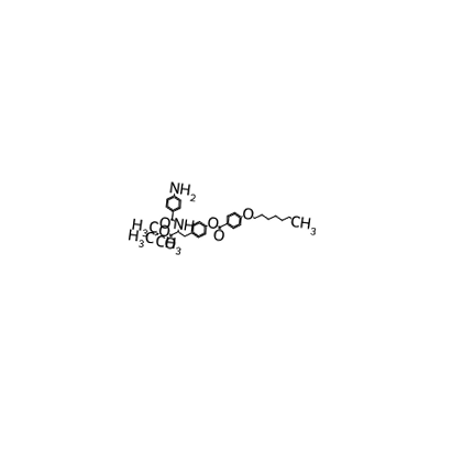 CCCCCCCOc1ccc(C(=O)Oc2ccc(CC(NC(=O)c3ccc(N)cc3)C(=O)OC(C)(C)C)cc2)cc1